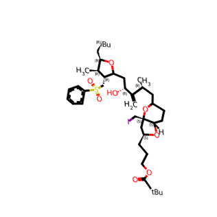 C=C([C@H](C)CC1CC[C@@H]2O[C@@H](CCCOC(=O)C(C)(C)C)C[C@]2(CI)O1)[C@H](O)CC1O[C@H](C[C@H](C)CC)[C@H](C)[C@H]1CS(=O)(=O)c1ccccc1